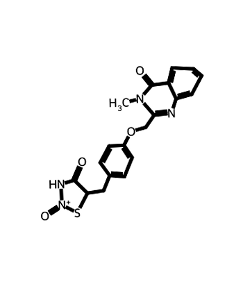 Cn1c(COc2ccc(CC3S[N+](=O)NC3=O)cc2)nc2ccccc2c1=O